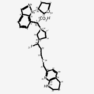 O=C(O)[C@@H](c1cccc2cnn([C@@H]3CCOC3)c12)N1CC[C@@H](C(F)CCCCc2ccc3c(n2)NCCC3)C1